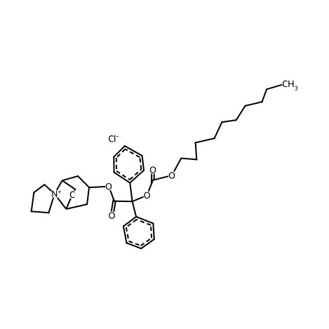 CCCCCCCCCCOC(=O)OC(C(=O)OC1CC2CCC(C1)[N+]21CCCC1)(c1ccccc1)c1ccccc1.[Cl-]